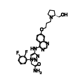 NC(=O)C[N+]1(c2cccc(F)c2F)C=C(Nc2ncnc3cc(OCCCN4CCC[C@@H]4CO)ccc23)N=N1